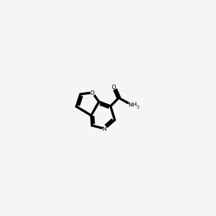 NC(=O)c1cncc2ccoc12